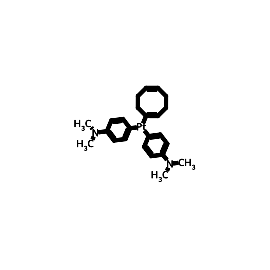 CN(C)c1cc[c]([Pt]([C]2=CCCC=CCC2)[c]2ccc(N(C)C)cc2)cc1